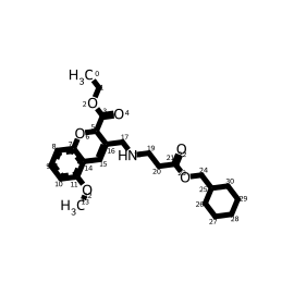 CCOC(=O)C1Oc2cccc(OC)c2C=C1CNCCC(=O)OCC1CCCCC1